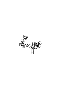 O=c1[nH]c2cc(N[C@H]3CCC4(C3)CN(c3ncnc5sc(CC(F)(F)F)cc35)C4)ccc2o1